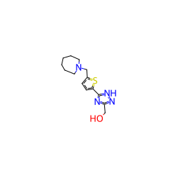 OCc1n[nH]c(-c2ccc(CN3CCCCCC3)s2)n1